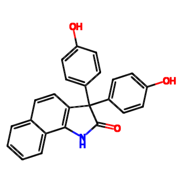 O=C1Nc2c(ccc3ccccc23)C1(c1ccc(O)cc1)c1ccc(O)cc1